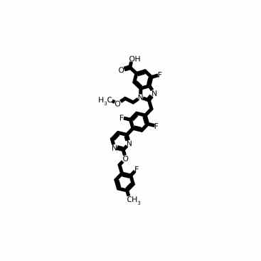 COCCn1c(Cc2cc(F)c(-c3ccnc(OCc4ccc(C)cc4F)n3)cc2F)nc2c(F)cc(C(=O)O)cc21